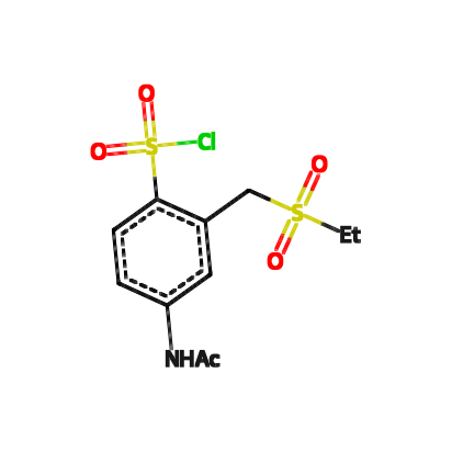 CCS(=O)(=O)Cc1cc(NC(C)=O)ccc1S(=O)(=O)Cl